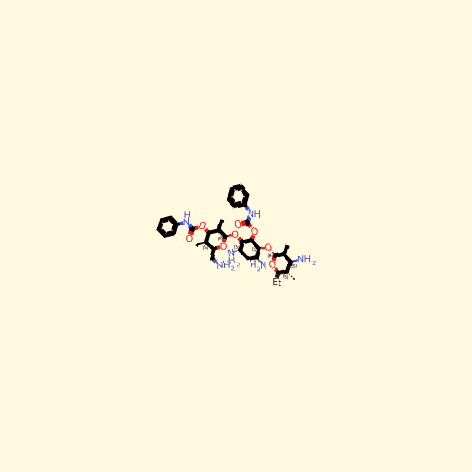 CCC1O[C@H](O[C@@H]2C(OC(=O)Nc3ccccc3)C(O[C@H]3OC(CN)[C@@H](C)C(OC(=O)Nc4ccccc4)C3C)[C@@H](N)C[C@H]2N)C(C)[C@@H](N)[C@@H]1C